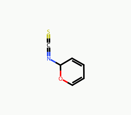 S=C=NC1C=CC=CO1